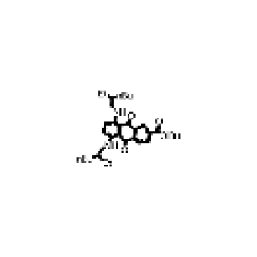 CCCCC(CC)CNc1ccc(NCC(CC)CCCC)c2c1C(=O)c1ccc(C(=O)OCC(C)C)cc1C2=O